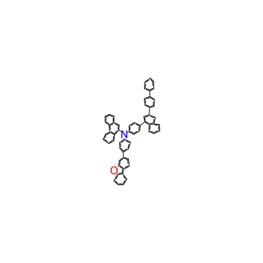 c1ccc(-c2ccc(-c3cc(-c4ccc(N(c5ccc(-c6ccc7c(c6)oc6ccccc67)cc5)c5cc6ccccc6c6ccccc56)cc4)c4ccccc4c3)cc2)cc1